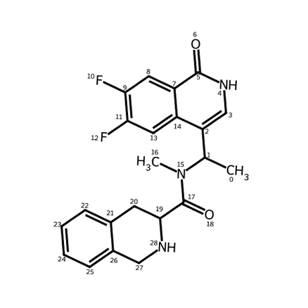 CC(c1c[nH]c(=O)c2cc(F)c(F)cc12)N(C)C(=O)C1Cc2ccccc2CN1